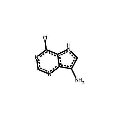 Nc1c[nH]c2c(Cl)ncnc12